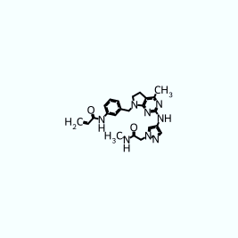 C=CC(=O)Nc1cccc(CN2CCc3c(C)nc(Nc4cnn(CC(=O)NC)c4)nc32)c1